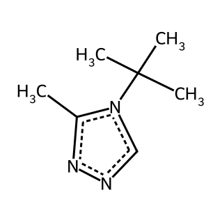 Cc1nncn1C(C)(C)C